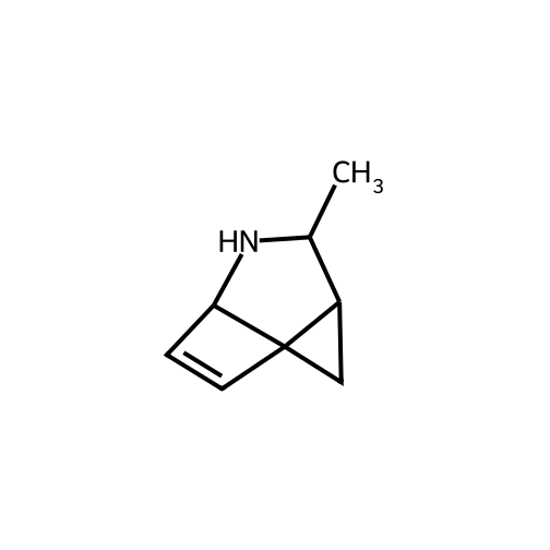 CC1NC2C=CC23CC13